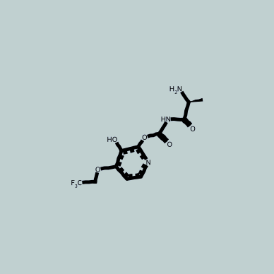 C[C@H](N)C(=O)NC(=O)Oc1nccc(OCC(F)(F)F)c1O